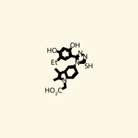 CCc1cc(-c2nnc(S)n2C2=CC3C(C)=C(C)N(CC(=O)O)C3C=C2)c(O)cc1O